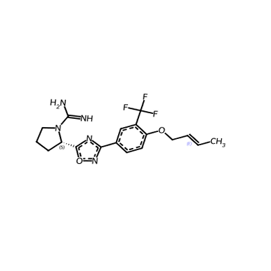 C/C=C/COc1ccc(-c2noc([C@@H]3CCCN3C(=N)N)n2)cc1C(F)(F)F